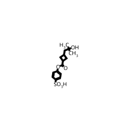 CC(C)(O)CC1CC(C(=O)Oc2ccc(S(=O)(=O)O)cc2)C1